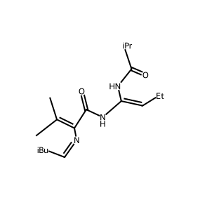 CC/C=C(/NC(=O)C(/N=C\C(C)CC)=C(C)C)NC(=O)C(C)C